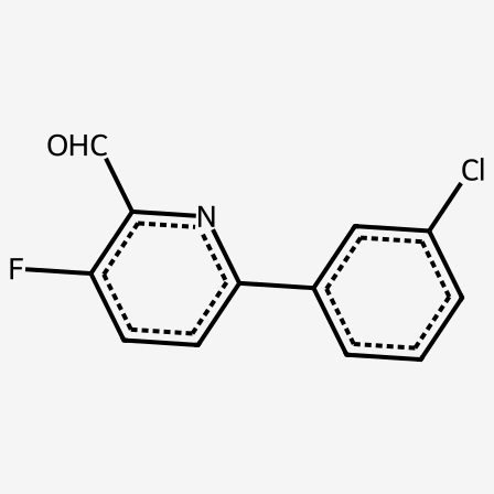 O=Cc1nc(-c2cccc(Cl)c2)ccc1F